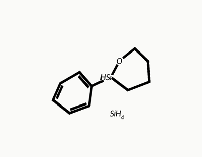 [SiH4].c1ccc([SiH]2CCCCO2)cc1